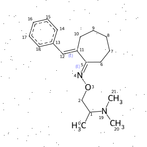 CC(CO/N=C1\CCCCC\C1=C/c1ccccc1)N(C)C